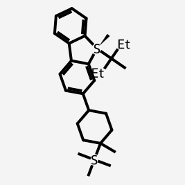 CCC(C)(CC)[S@@]1(C)c2ccccc2-c2ccc(C3CCC(C)(S(C)(C)C)CC3)cc21